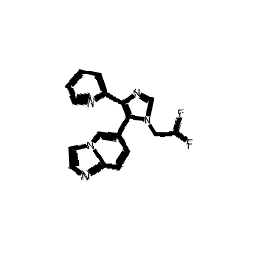 FC(F)Cn1cnc(-c2ccccn2)c1-c1ccc2nccn2c1